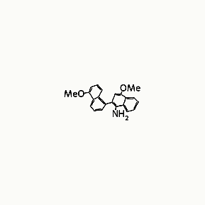 COc1cccc2c(-c3cc(OC)c4ccccc4c3N)cccc12